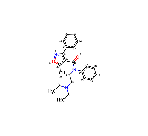 CCN(CC)CCN(C(=O)c1c(-c2ccccc2)noc1C)c1ccccc1